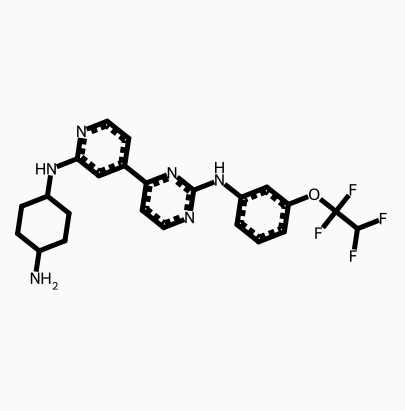 NC1CCC(Nc2cc(-c3ccnc(Nc4cccc(OC(F)(F)C(F)F)c4)n3)ccn2)CC1